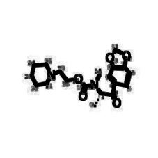 C[C@@H](C(=O)c1ccc2c(c1)OCO2)N(C)C(=O)OCCN1CCCCC1